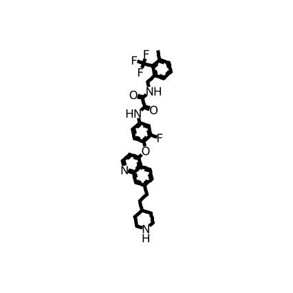 Cc1cccc(CNC(=O)C(=O)Nc2ccc(Oc3ccnc4cc(CCC5CCNCC5)ccc34)c(F)c2)c1C(F)(F)F